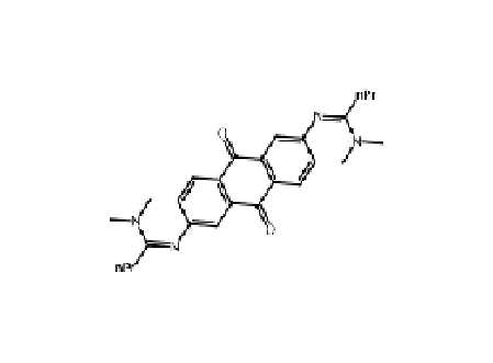 CCCC(=Nc1ccc2c(c1)C(=O)c1ccc(N=C(CCC)N(C)C)cc1C2=O)N(C)C